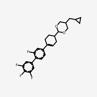 Fc1cc(C2=CCC(C3OCC(CC4CC4)CO3)CC2)ccc1-c1cc(F)c(F)c(F)c1